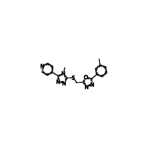 Cc1cccc(-c2nnc(CSc3nnc(-c4ccncc4)n3C)o2)c1